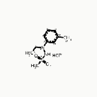 CCN(NS(C)(=O)=O)c1cccc(C)c1.Cl